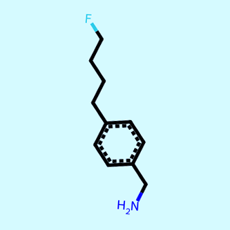 NCc1ccc(CCCCF)cc1